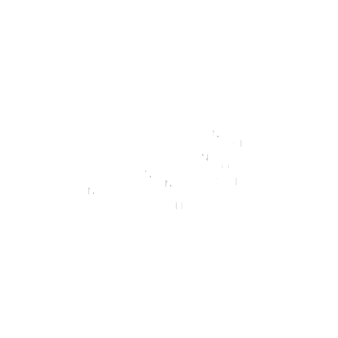 CC(C(=O)Nc1cc(N2C=Nc3c(ccc(-c4cncc(F)c4)c3F)C2O)ccc1OC(F)(F)F)N1CCOCC1